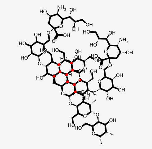 CC1C(O)[C@H](O[C@@H]2OC(CO[C@]3(C(=O)O)C[C@@H](O)[C@@H](N)C([C@H](O)[C@H](O)CO)O3)[C@H](O)C(O)[C@@H]2O)[C@H](CO)O[C@H]1O[C@@H]1C(O)[C@H](O)C(CO)O[C@@H]1OCC1O[C@@H](O[C@@H]2C(CO)O[C@@H](O[C@@H]3C(CO)O[C@@H](C)[C@@H](C)C3O)[C@@H](C)C2O)[C@H](O)C(O[C@H]2O[C@H](CO)[C@@H](O)C(O)C2O[C@@H]2OC(CO)[C@@H](O[C@@H]3OC(CO[C@]4(C(=O)O)C[C@@H](O)[C@@H](N)C([C@H](O)[C@H](O)CO)O4)[C@H](O)C(O)[C@@H]3O)C(O)[C@@H]2C)[C@@H]1O